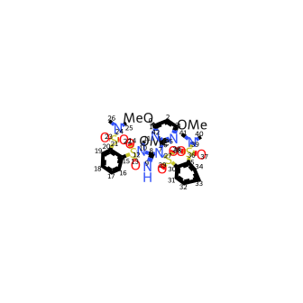 COc1cc(OC)nc(N(C(=N)N(OC)S(=O)(=O)c2ccccc2S(=O)(=O)N(C)C)S(=O)(=O)c2ccccc2S(=O)(=O)N(C)C)n1